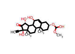 C#C[C@]1(O)C(=O)[C@H](O)C2C3C(CC[C@@]21C)[C@@]1(C)CC[C@@H](OC(O)OC)CC1=C[C@@H]3O